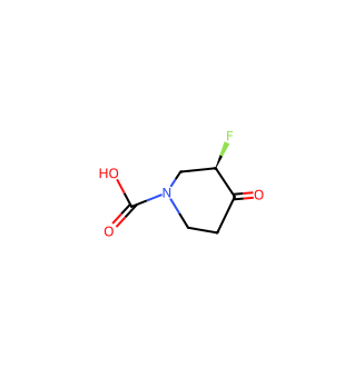 O=C1CCN(C(=O)O)C[C@H]1F